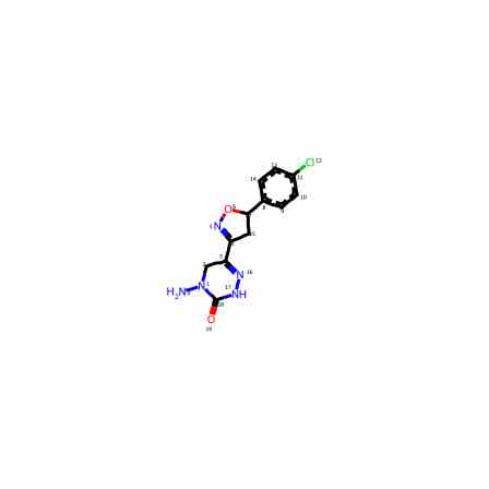 NN1CC(C2=NOC(c3ccc(Cl)cc3)C2)=NNC1=O